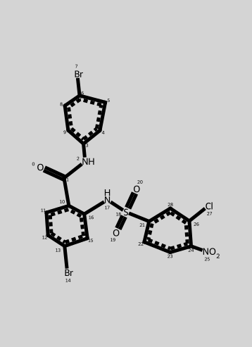 O=C(Nc1ccc(Br)cc1)c1ccc(Br)cc1NS(=O)(=O)c1ccc([N+](=O)[O-])c(Cl)c1